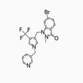 Cn1c(=O)c2ccc(Br)cc2n1Cc1cn(Cc2cccnc2)cc1C(F)(F)F